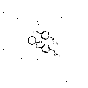 C=Cc1ccc(O)cc1.C=Cc1ccc(OC2(CC)CCCCC2)cc1